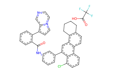 Clc1cccc2c1c(-c1ccccc1)cc1c3c(ccc12)CCCC3.NC(=O)c1ccccc1-c1ccn2ccncc12.O=C(O)C(F)(F)F